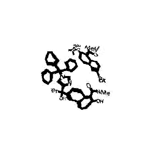 CNC(=O)c1c(O)ccc2cc(C(O)(c3cn(C(c4ccccc4)(c4ccccc4)c4ccccc4)cn3)C(C)C)ccc12.CNC(=O)c1c(O[Si](C)(C)C(C)(C)C)ccc2cc(Br)ccc12